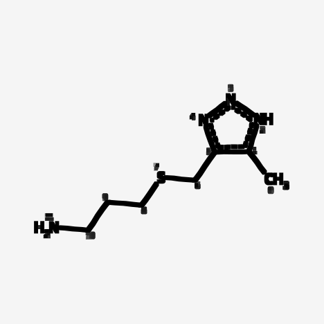 Cc1[nH]nnc1CSCCCN